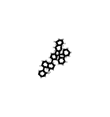 c1ccc2c(c1)Sc1ccc(-c3ccc4c(c3)C3(c5ccccc5-c5ccccc53)c3cc5ccccc5cc3-4)c3cccc-2c13